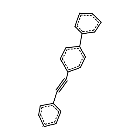 C(#Cc1ccc(-c2ccccc2)cc1)c1cc[c]cc1